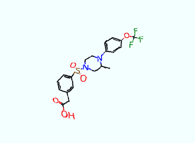 CC1CN(S(=O)(=O)c2cccc(CC(=O)O)c2)CCN1c1ccc(OC(F)(F)F)cc1